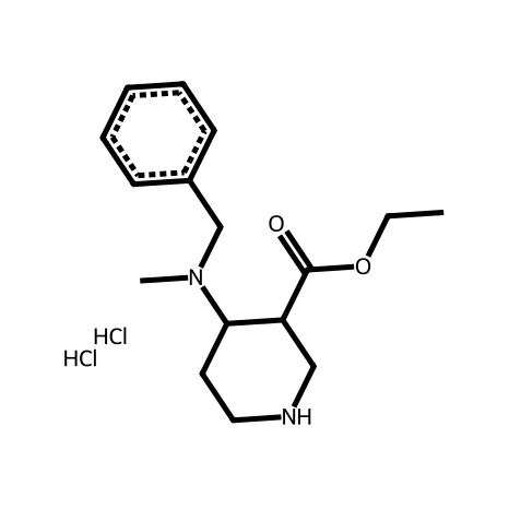 CCOC(=O)C1CNCCC1N(C)Cc1ccccc1.Cl.Cl